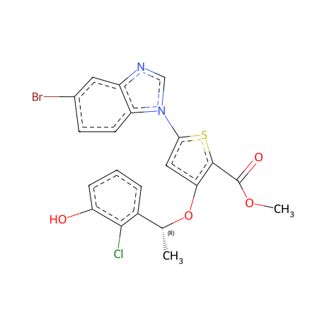 COC(=O)c1sc(-n2cnc3cc(Br)ccc32)cc1O[C@H](C)c1cccc(O)c1Cl